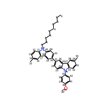 CCCCCCCCCCn1c2ccc(C)cc2c2cc(-c3ccc4c(c3)c3cc(C)ccc3n4-c3ccc(OC)cc3)ccc21